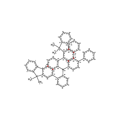 CC1(C)c2ccccc2-c2ccc(-c3ccccc3N(c3ccc(-c4ccccc4)c(-c4ccccc4)c3)c3ccccc3-c3cccc4c3C(C)(C)c3ccccc3-4)cc21